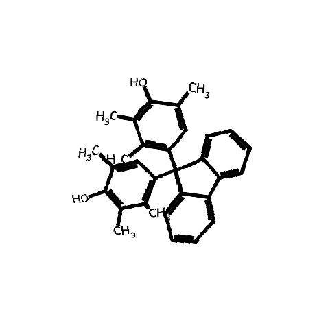 Cc1cc(C2(c3cc(C)c(O)c(C)c3C)c3ccccc3-c3ccccc32)c(C)c(C)c1O